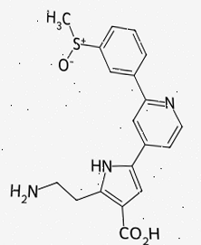 C[S+]([O-])c1cccc(-c2cc(-c3cc(C(=O)O)c(CCN)[nH]3)ccn2)c1